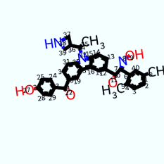 Cc1ccc(C)c(/C(=N\O)C(=O)c2ccc3c(c2)c2cc(C(=O)c4ccc(O)cc4)ccc2n3C(C)C2CNC2)c1